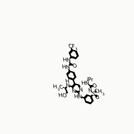 CC(C)NC(=O)N=S(C)(=O)c1cccc(Nc2ncc(-c3ccc(NC(=O)Nc4cccc(C(F)(F)F)c4)cc3)c(N[C@H](C)CO)n2)c1